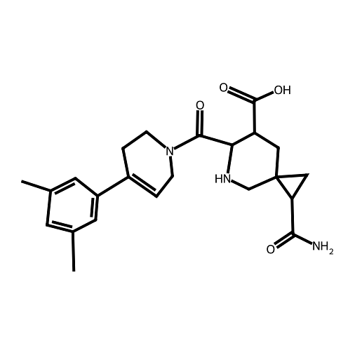 Cc1cc(C)cc(C2=CCN(C(=O)C3NCC4(CC3C(=O)O)CC4C(N)=O)CC2)c1